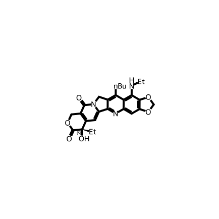 CCCCc1c2c(nc3cc4c(c(NCC)c13)OCO4)-c1cc3c(c(=O)n1C2)COC(=O)[C@]3(O)CC